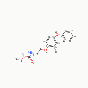 CCOC(=O)NCCOc1ccc(Oc2ccccc2)cc1C